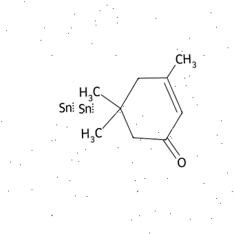 CC1=CC(=O)CC(C)(C)C1.[Sn].[Sn]